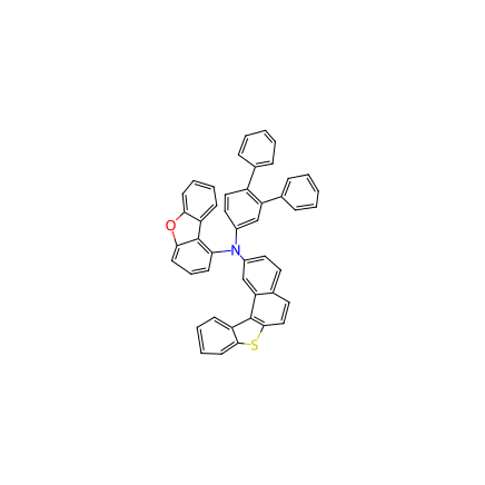 c1ccc(-c2ccc(N(c3ccc4ccc5sc6ccccc6c5c4c3)c3cccc4oc5ccccc5c34)cc2-c2ccccc2)cc1